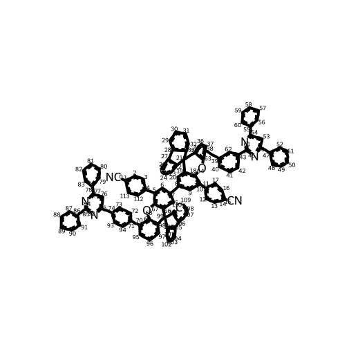 N#Cc1ccc(-c2cc(-c3cc(-c4ccc(C#N)cc4)c4c(c3)C3(c5ccccc5-c5ccccc53)c3cccc(-c5cccc(-c6nc(-c7ccccc7)cc(-c7ccccc7)n6)c5)c3O4)cc3c2Oc2c(-c4ccc(-c5cc(-c6ccccc6)nc(-c6ccccc6)n5)cc4)cccc2C32c3ccccc3-c3ccccc32)cc1